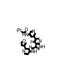 CC(C)CC(=O)Nc1cncc(-c2cnc3[nH]nc(-c4nc5c(-c6ccoc6)nccc5[nH]4)c3c2F)c1